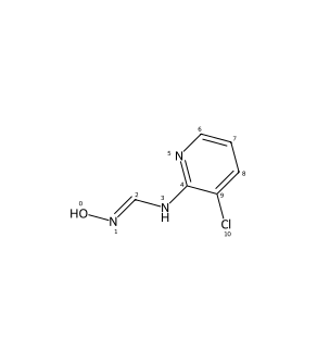 ON=CNc1ncccc1Cl